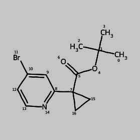 CC(C)(C)OC(=O)C1(c2cc(Br)ccn2)CC1